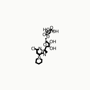 O=P(O)(O)CP(=O)(O)OC[C@H]1OC(c2cnc3c(N4CCCCC4)cc(Cl)nn23)[C@H](O)[C@@H]1O